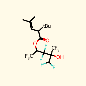 CC(C)=CC(C(=O)OC(C(F)(F)F)C(F)(F)C(O)(C(F)F)C(F)(F)F)C(C)(C)C